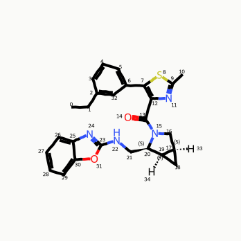 CCc1cccc(-c2sc(C)nc2C(=O)N2C[C@H]3C[C@H]3[C@H]2CNc2nc3ccccc3o2)c1